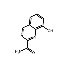 NC(=O)c1ncc2cccc(O)c2n1